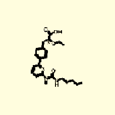 CCCCCNC(=O)N(C)c1cccc(-c2ccc(C[C@H](OCC)C(=O)O)cc2)n1